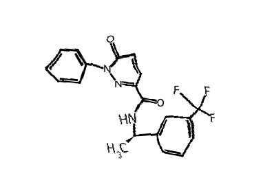 C[C@@H](NC(=O)c1ccc(=O)n(-c2ccccc2)n1)c1cccc(C(F)(F)F)c1